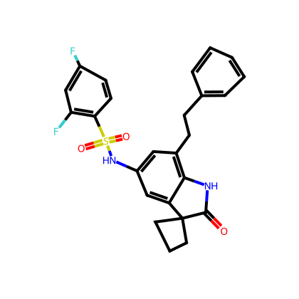 O=C1Nc2c(CCc3ccccc3)cc(NS(=O)(=O)c3ccc(F)cc3F)cc2C12CCC2